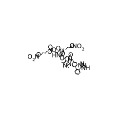 Cc1nc(C)c2c(OC(=O)NC(COC(=O)OCCCCO[N+](=O)[O-])C(=O)OCCCCO[N+](=O)[O-])cc(=O)n(Cc3ccc(-c4ccccc4-c4nnn[nH]4)cc3)c2n1